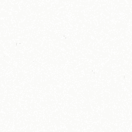 Cc1cc(N2CC(C)OC(C(F)(F)F)C2)ccc1Nc1ccc2c(c1)OCC(=O)N2